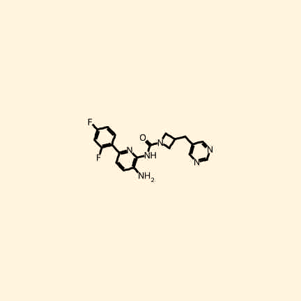 Nc1ccc(-c2ccc(F)cc2F)nc1NC(=O)N1CC(Cc2cncnc2)C1